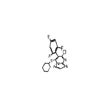 Fc1cc(F)c(-c2c(Cl)nc3ncnn3c2SC2CCCCC2)c(F)c1